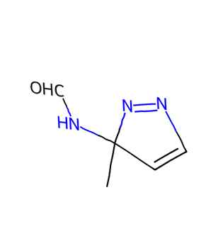 CC1(NC=O)C=CN=N1